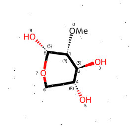 CO[C@@H]1[C@@H](O)[C@H](O)CO[C@@H]1O